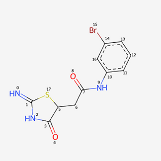 N=C1NC(=O)C(CC(=O)Nc2cccc(Br)c2)S1